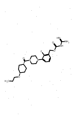 CCCO[C@H]1CC[C@@H](C(=O)N2CCN(c3cccc(COC(=O)NC(=N)N)c3F)CC2)CC1